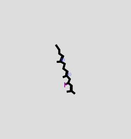 CCC/C=C(\C)CC/C=C(\C)CC(I)C=C(C)C